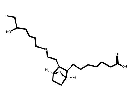 CCC(O)CCCCSCC[C@H]1[C@@H](CCCCCCC(=O)O)[C@H]2CC[C@@H]1O2